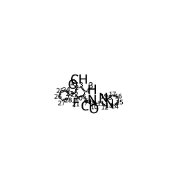 COc1ccc(C(Cl)NC(=O)c2cn3ccccc3n2)c(F)c1-c1ccccc1